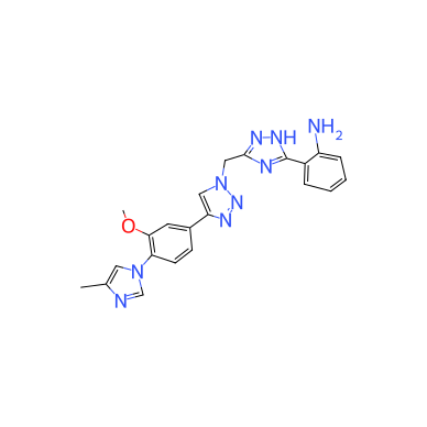 COc1cc(-c2cn(Cc3n[nH]c(-c4ccccc4N)n3)nn2)ccc1-n1cnc(C)c1